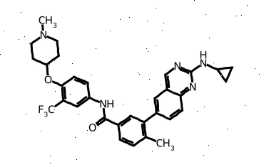 Cc1ccc(C(=O)Nc2ccc(OC3CCN(C)CC3)c(C(F)(F)F)c2)cc1-c1ccc2nc(NC3CC3)ncc2c1